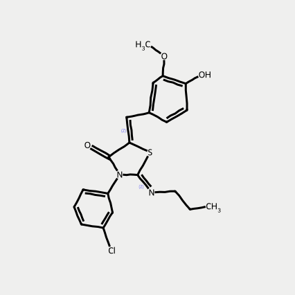 CCC/N=C1\S/C(=C\c2ccc(O)c(OC)c2)C(=O)N1c1cccc(Cl)c1